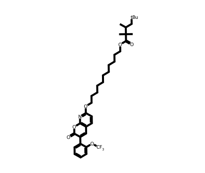 CC(CC(C)(C)C)C(C)(C)C(=O)OCCCCCCCCCCCOc1ccc2cc(-c3ccccc3OC(F)(F)F)c(=O)oc2n1